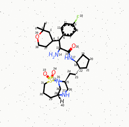 CC1(C)CC(C(c2ccc(F)cc2)C(N)C(=O)N[C@H]2CCC[C@@H]2CC[C@H]2CN[C@@H]3CCCS(=O)(=O)N2C3)CCO1